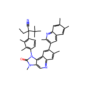 CCC(C#N)(c1ccc(-n2c(=O)n(C)c3cnc4cc(C)c(-c5cc6cc(C)c(C)cc6nc5C)cc4c32)c(C)c1C)C(C)(C)C